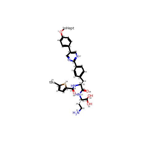 CCCCCCCOc1ccc(-c2cnc(-c3ccc(C[C@H](NC(=O)c4ccc(C(C)(C)C)s4)C(=O)N[C@@H](CCN)C(O)O)cc3)nc2)cc1